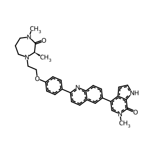 C[C@@H]1C(=O)N(C)CCCN1CCOc1ccc(-c2ccc3cc(-c4cn(C)c(=O)c5[nH]ccc45)ccc3n2)cc1